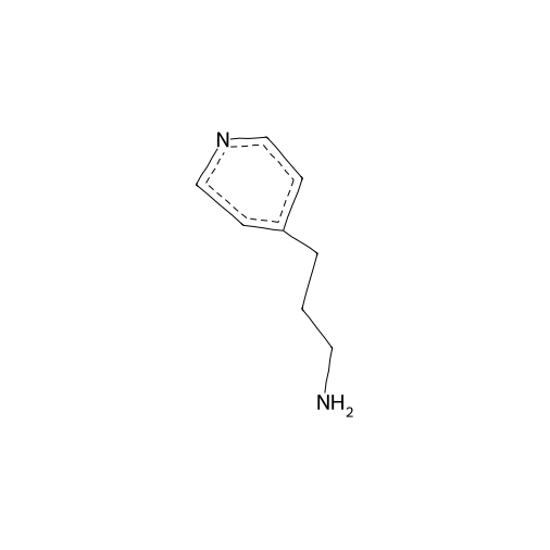 NCCCc1ccncc1